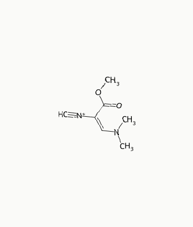 C#[N+]/C(=C/N(C)C)C(=O)OC